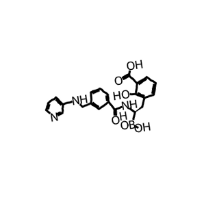 O=C(N[C@@H](Cc1cccc(C(=O)O)c1O)B(O)O)c1cccc(CNc2cccnc2)c1